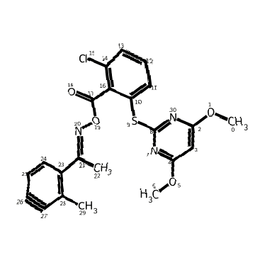 COc1cc(OC)nc(Sc2cccc(Cl)c2C(=O)O/N=C(\C)c2ccc#cc2C)n1